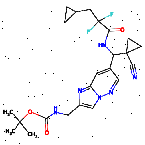 CC(C)(C)OC(=O)NCc1cn2ncc(C(NC(=O)C(F)(F)CC3CC3)C3(C#N)CC3)cc2n1